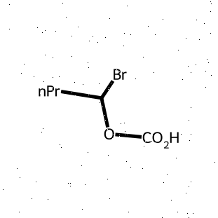 CCCC(Br)OC(=O)O